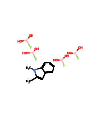 Cc1cc2ccccc2n1C.OB(O)F.OB(O)F.OB(O)F.OB(O)F